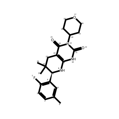 Cc1ccc(F)c([C@@H]2Nc3[nH]c(=O)n(C4CCOCC4)c(=O)c3CC2(C)C)c1